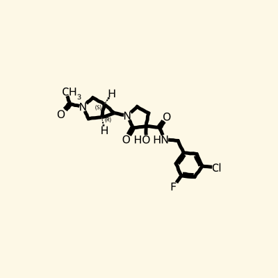 CC(=O)N1C[C@@H]2C(N3CCC(O)(C(=O)NCc4cc(F)cc(Cl)c4)C3=O)[C@@H]2C1